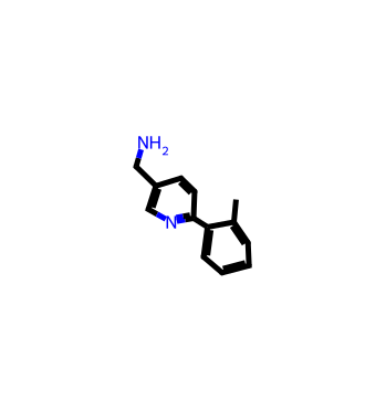 Cc1ccccc1-c1ccc(CN)cn1